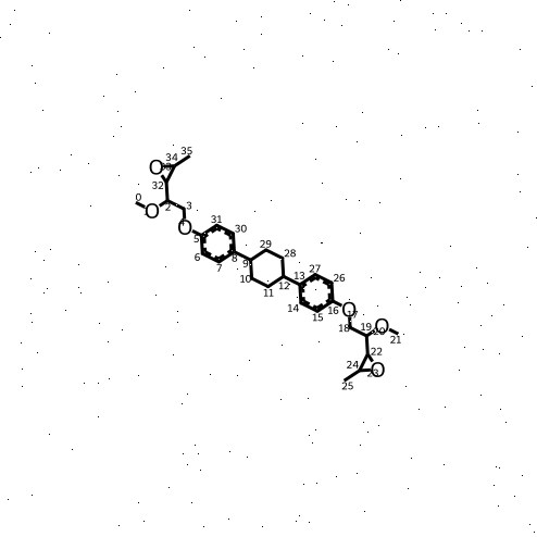 COC(COc1ccc(C2CCC(c3ccc(OCC(OC)C4OC4C)cc3)CC2)cc1)C1OC1C